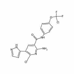 Nc1nc(Cl)c(-c2ccn[nH]2)cc1C(=O)Nc1ccc(OC(F)(F)Cl)cc1